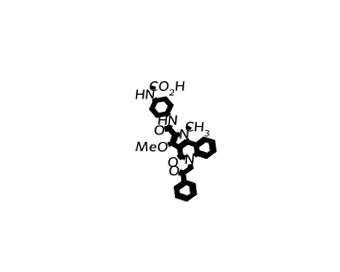 COc1c(C(=O)NC2CCC(NC(=O)O)CC2)n(C)c2c1c(=O)n(CC(=O)c1ccccc1)c1ccccc21